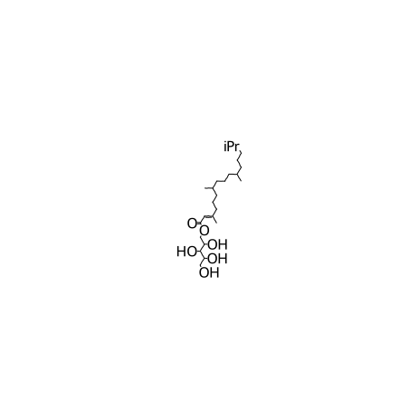 CC(=CC(=O)OCC(O)C(O)C(O)CO)CCCC(C)CCCC(C)CCCC(C)C